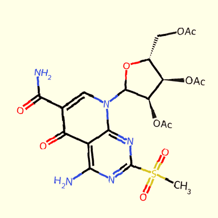 CC(=O)OC[C@H]1OC(n2cc(C(N)=O)c(=O)c3c(N)nc(S(C)(=O)=O)nc32)[C@H](OC(C)=O)[C@@H]1OC(C)=O